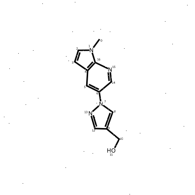 Cn1ccc2cc(-n3cc(CO)cn3)cnc21